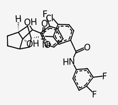 O=C(Nc1ccc(F)c(F)c1)c1ccc(Cl)c(S(=O)(=O)[C@@H]2CC3CC[C@@H](C2)[C@@]3(O)C(O)c2ncccc2F)c1